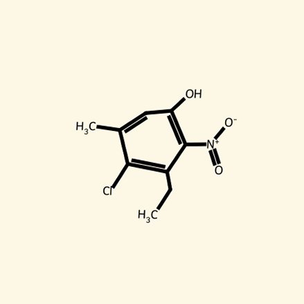 CCc1c(Cl)c(C)cc(O)c1[N+](=O)[O-]